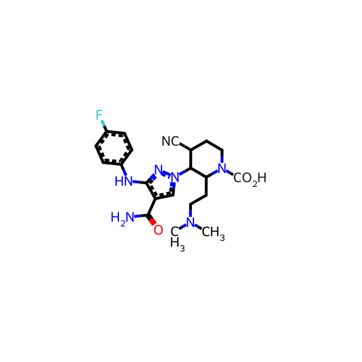 CN(C)CCC1C(n2cc(C(N)=O)c(Nc3ccc(F)cc3)n2)C(C#N)CCN1C(=O)O